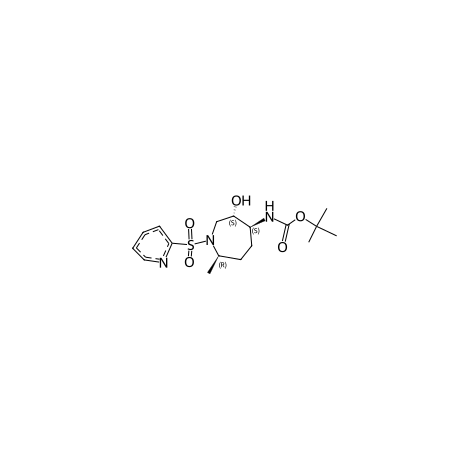 C[C@@H]1CC[C@H](NC(=O)OC(C)(C)C)[C@@H](O)CN1S(=O)(=O)c1ccccn1